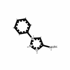 CC(=O)[N-]c1c[n+](-c2ccccc2)no1